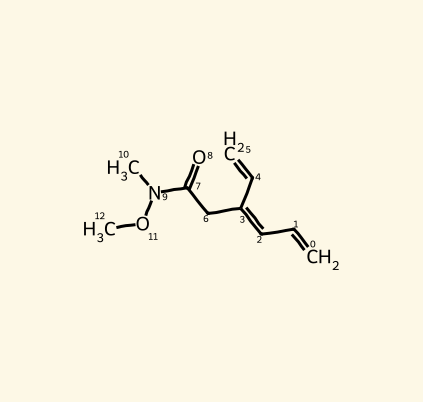 C=C/C=C(\C=C)CC(=O)N(C)OC